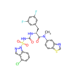 CN(C(=O)[C@H](Cc1cc(F)cc(F)c1)NC(=O)NS(=O)(=O)n1ncc2c(Cl)cccc21)c1ccc2scnc2c1